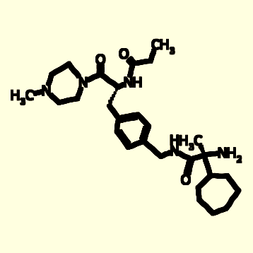 CCC(=O)N[C@H](Cc1ccc(CNC(=O)[C@](C)(N)C2CCCCCC2)cc1)C(=O)N1CCN(C)CC1